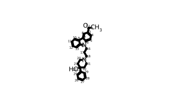 CC(=O)c1ccc2c(c1)c1ccccc1n2CCCN1CCC(O)(c2ccccc2)CC1